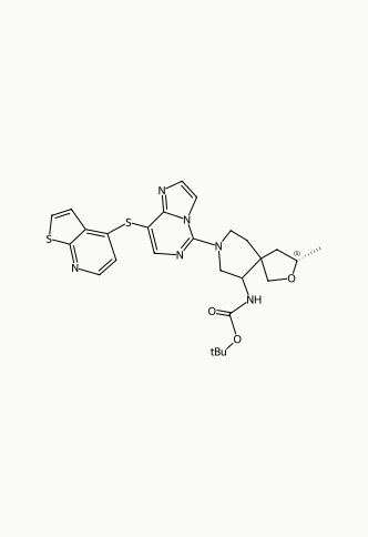 C[C@H]1CC2(CCN(c3ncc(Sc4ccnc5sccc45)c4nccn34)CC2NC(=O)OC(C)(C)C)CO1